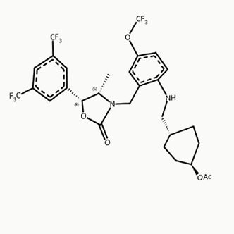 CC(=O)O[C@H]1CC[C@H](CNc2ccc(OC(F)(F)F)cc2CN2C(=O)O[C@H](c3cc(C(F)(F)F)cc(C(F)(F)F)c3)[C@@H]2C)CC1